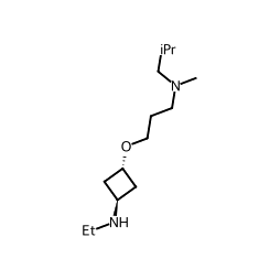 CCN[C@H]1C[C@H](OCCCN(C)CC(C)C)C1